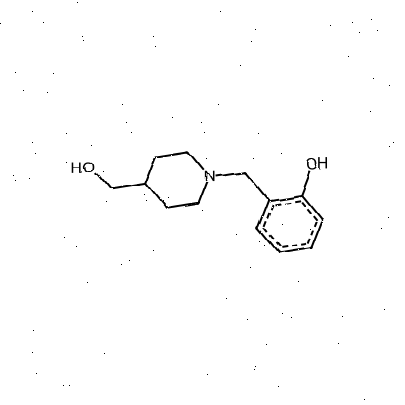 OCC1CCN(Cc2ccccc2O)CC1